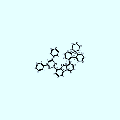 c1ccc(-c2cc(-c3ccccc3)nc(-c3cccc4c3oc3c(-c5cccc6c5-c5ccccc5C65CCCCC5)cccc34)n2)cc1